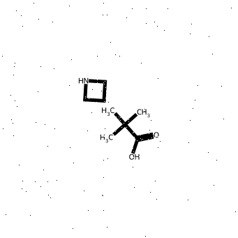 C1CNC1.CC(C)(C)C(=O)O